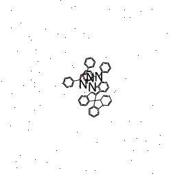 C1=CC2c3ccccc3C3(c4ccccc4-c4c3c3cccc(N(c5ccccc5)c5ccccc5)c3n4-c3nc(-c4ccccc4)cc(-c4ccccc4)n3)C2C=C1